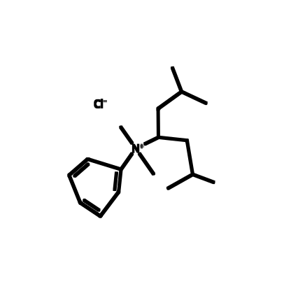 CC(C)CC(CC(C)C)[N+](C)(C)c1ccccc1.[Cl-]